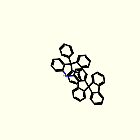 c1ccc(C2(c3ccccc3Nc3cccc4c3-c3ccccc3C43c4ccccc4-c4ccccc43)c3ccccc3-c3ccccc32)cc1